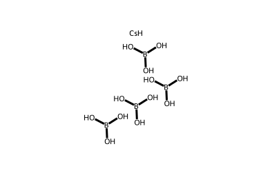 OB(O)O.OB(O)O.OB(O)O.OB(O)O.[CsH]